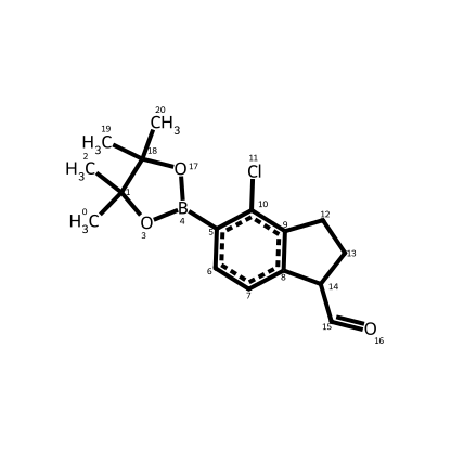 CC1(C)OB(c2ccc3c(c2Cl)CCC3C=O)OC1(C)C